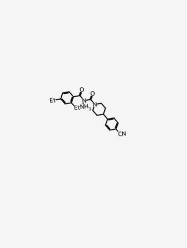 CCc1ccc(C(=O)N(N)C(=O)N2CCC(c3ccc(C#N)cc3)CC2)c(CC)c1